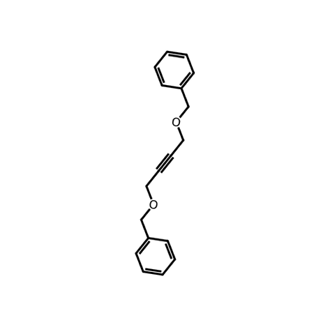 C(#CCOCc1ccccc1)COCc1ccccc1